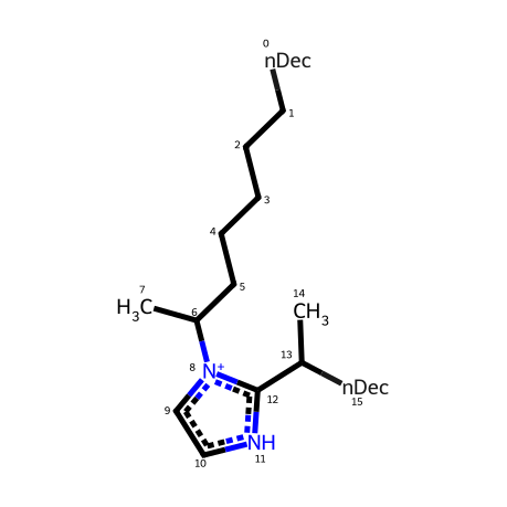 CCCCCCCCCCCCCCCC(C)[n+]1cc[nH]c1C(C)CCCCCCCCCC